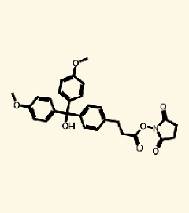 COc1ccc(C(O)(c2ccc(CCC(=O)ON3C(=O)CCC3=O)cc2)c2ccc(OC)cc2)cc1